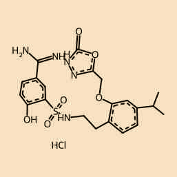 CC(C)c1ccc(CCNS(=O)(=O)c2cc(C(=N)N)ccc2O)c(OCc2n[nH]c(=O)o2)c1.Cl